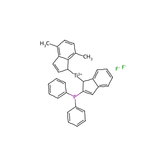 Cc1ccc(C)c2c1C=C[CH]2[Ti+2][CH]1C(P(c2ccccc2)c2ccccc2)=Cc2ccccc21.[F-].[F-]